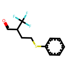 O=[C]C(CCSc1ccccc1)C(F)(F)F